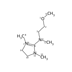 COCCN(C)C1=[N+](C)CCN1C